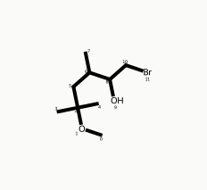 COC(C)(C)CC(C)C(O)CBr